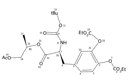 CCOC(=O)Oc1ccc(C[C@H](NC(=O)OC(C)(C)C)C(=O)O[C@H](C)COC(C)=O)cc1OC(=O)OCC